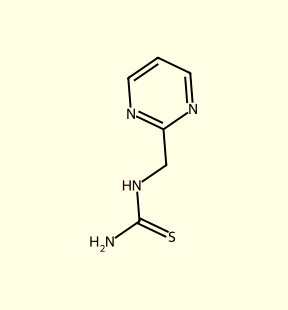 NC(=S)NCc1ncccn1